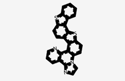 c1ccc2c(c1)sc1ccc3c(sc4ccc5c(c6ncccc6c6nccn56)c43)c12